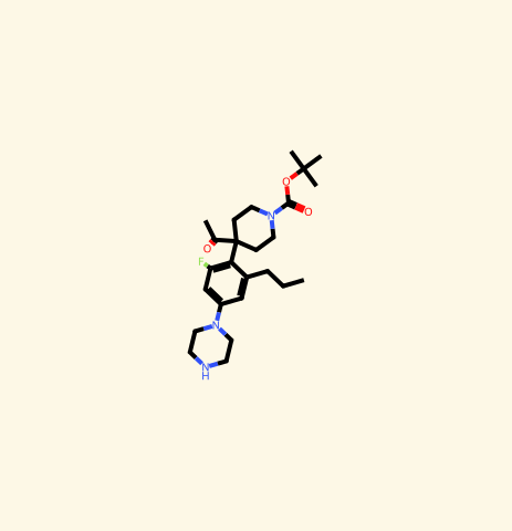 CCCc1cc(N2CCNCC2)cc(F)c1C1(C(C)=O)CCN(C(=O)OC(C)(C)C)CC1